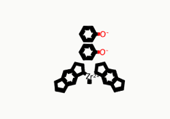 [CH2]=[Zr+2]([CH]1CCc2cc3c(cc21)C=CC3)[CH]1CCc2cc3c(cc21)C=CC3.[O-]c1ccccc1.[O-]c1ccccc1